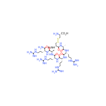 CC(=O)N[C@H](CSSC[C@H](N)C(=O)O)C(=O)N[C@H](C)C(=O)N[C@H](CCCNC(=N)N)C(=O)N[C@H](CCCNC(=N)N)C(=O)N[C@H](CCCNC(=N)N)C(=O)N[C@H](C)C(=O)N[C@H](CCCNC(=N)N)C(N)=O